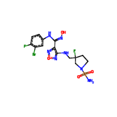 NS(=O)(=O)N1CCC(F)(CNc2nonc2/C(=N/O)Nc2ccc(F)c(Br)c2)C1